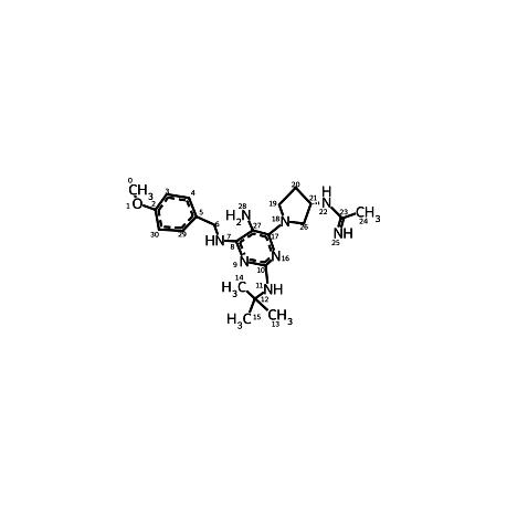 COc1ccc(CNc2nc(NC(C)(C)C)nc(N3CC[C@H](NC(C)=N)C3)c2N)cc1